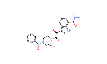 C[C@@H]1CN(C(=O)c2ccccc2)CCN1C(=O)C(=O)c1c[nH]c2c(C(=O)N(C)C)cccc12